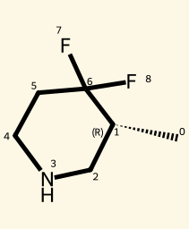 C[C@@H]1CNCCC1(F)F